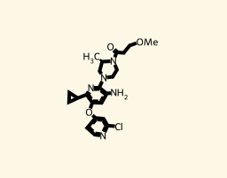 COCCC(=O)N1CCN(c2nc(C3CC3)c(Oc3ccnc(Cl)c3)cc2N)C[C@H]1C